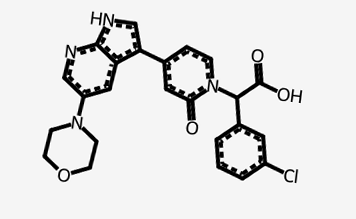 O=C(O)C(c1cccc(Cl)c1)n1ccc(-c2c[nH]c3ncc(N4CCOCC4)cc23)cc1=O